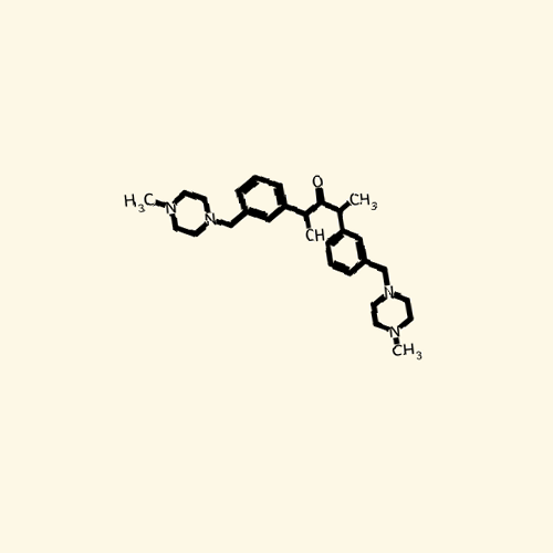 CC(C(=O)C(C)c1cccc(CN2CCN(C)CC2)c1)c1cccc(CN2CCN(C)CC2)c1